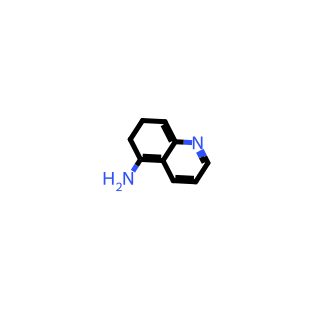 NC1=c2cccnc2=CCC1